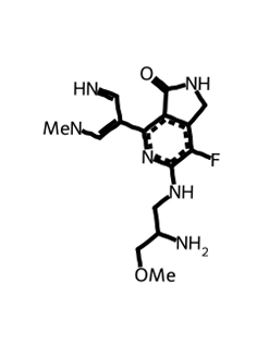 CN/C=C(\C=N)c1nc(NCC(N)COC)c(F)c2c1C(=O)NC2